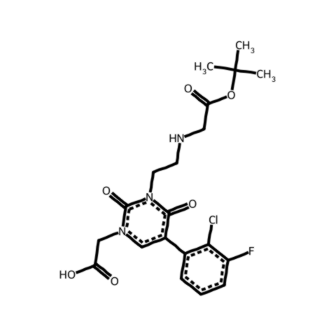 CC(C)(C)OC(=O)CNCCn1c(=O)c(-c2cccc(F)c2Cl)cn(CC(=O)O)c1=O